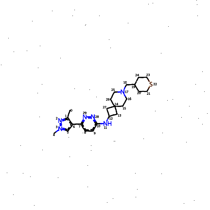 Cc1nn(C)cc1-c1ccc(NC2CC3(CCN(CC4CCSCC4)CC3)C2)nn1